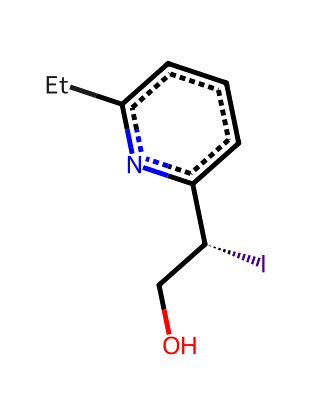 CCc1cccc([C@H](I)CO)n1